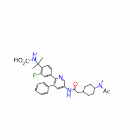 CC(=O)N(C)C1CCC(CC(=O)Nc2cnc(-c3ccc(C(C)(C)NC(=O)O)c(F)c3)c(-c3ccccc3)c2)CC1